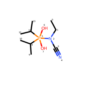 CCN(C#N)P(O)(O)(C(C)C)C(C)C